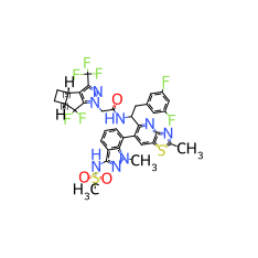 Cc1nc2nc(C(Cc3cc(F)cc(F)c3)NC(=O)Cn3nc(C(F)(F)F)c4c3C(F)(F)[C@@H]3CC[C@H]43)c(-c3cccc4c(NS(C)(=O)=O)nn(C)c34)cc2s1